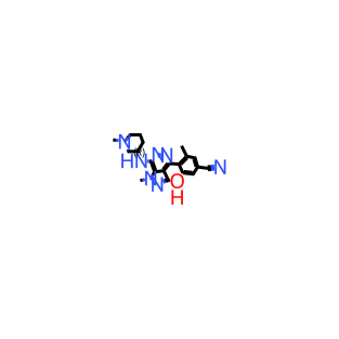 Cc1cc(C#N)cc(O)c1-c1nnc(N[C@@H]2CCCN(C)C2)c2c1cnn2C